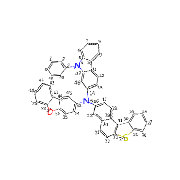 c1ccc(-n2c3ccccc3c3ccc(N(c4ccc5c(ccc6sc7ccccc7c65)c4)c4ccc5oc6ccccc6c5c4)cc32)cc1